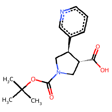 CC(C)(C)OC(=O)N1C[C@@H](C(=O)O)[C@H](c2cccnc2)C1